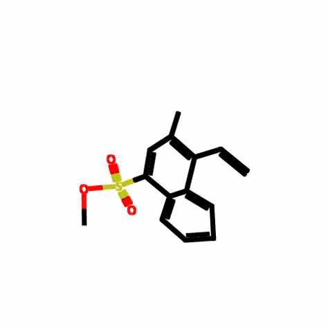 C=Cc1c(C)cc(S(=O)(=O)OC)c2ccccc12